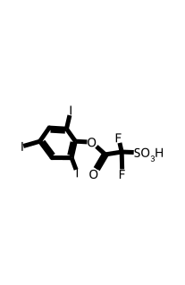 O=C(Oc1c(I)cc(I)cc1I)C(F)(F)S(=O)(=O)O